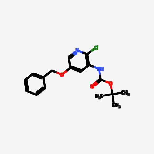 CC(C)(C)OC(=O)Nc1cc(OCc2ccccc2)cnc1Cl